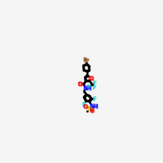 CS(=O)(=O)Nc1c(F)cc(CNC(=O)c2cc(-c3ccc(Br)cc3)oc2C(F)(F)F)cc1F